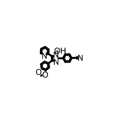 N#Cc1ccc(-c2nc(-c3ccc4c(c3)OCO4)c(-c3ccccn3)n2O)cc1